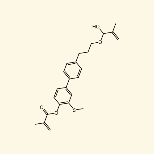 C=C(C)C(=O)Oc1ccc(-c2ccc(CCCOC(O)C(=C)C)cc2)cc1SC